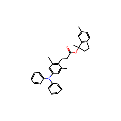 Cc1ccc2c(c1)C(C)(OC(=O)CCc1c(C)cc(N(c3ccccc3)c3ccccc3)cc1C)CC2